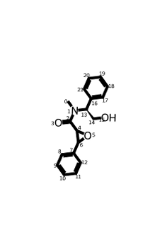 CN(C(=O)C1OC1c1ccccc1)[C@H](CO)c1ccccc1